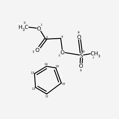 COC(=O)COS(C)(=O)=O.c1ccccc1